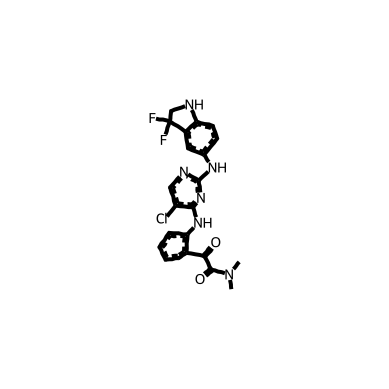 CN(C)C(=O)C(=O)c1ccccc1Nc1nc(Nc2ccc3c(c2)C(F)(F)CN3)ncc1Cl